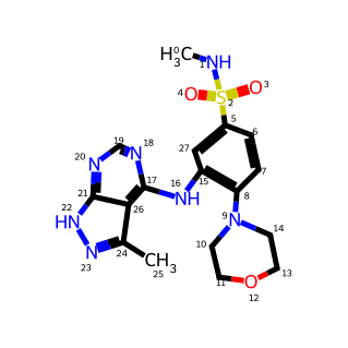 CNS(=O)(=O)c1ccc(N2CCOCC2)c(Nc2ncnc3[nH]nc(C)c23)c1